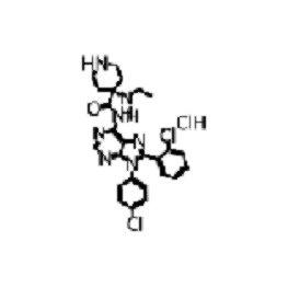 CCNC1(C(=O)Nc2ncnc3c2nc(-c2ccccc2Cl)n3-c2ccc(Cl)cc2)CCNCC1.Cl